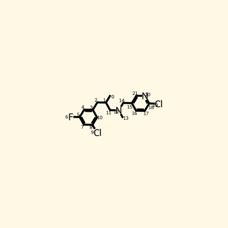 CC(Cc1cc(F)cc(Cl)c1)CN(C)Cc1ccc(Cl)nc1